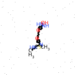 CCCCNCCc1sc(C)nc1-c1ccc(OCCCCCOc2ccc(C(=N)NO)cc2)cc1